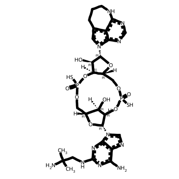 CC(C)(N)CNc1nc(N)c2ncn([C@@H]3O[C@@H]4COP(=O)(S)O[C@H]5[C@@H](O)[C@H](n6cc7c8c(ncnc86)NCCC7)O[C@@H]5COP(=O)(S)O[C@@H]3[C@@H]4O)c2n1